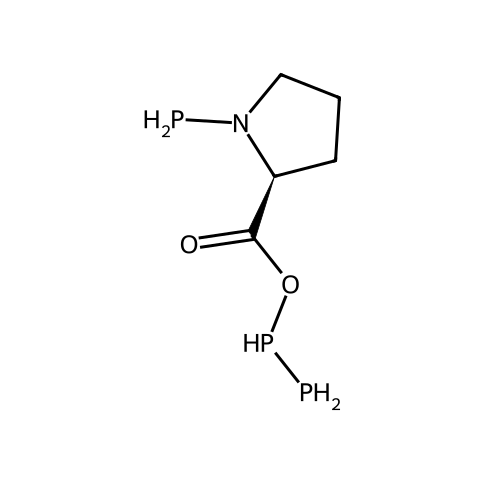 O=C(OPP)[C@@H]1CCCN1P